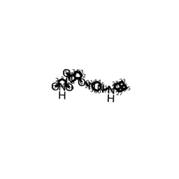 O=C1CCC(N2Cc3c(OCCN4CCCN(CCNC56CC7CC8CC(C5)C87C6)CC4)cccc3C2=O)C(=O)N1